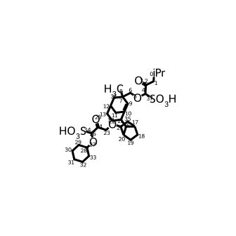 CC(C)CC(=O)C(OCC1(C)C=C2CC(CCC2C2C3CCC2C(OCC(=O)C(OC2CCCCC2)S(=O)(=O)O)C3)C1)S(=O)(=O)O